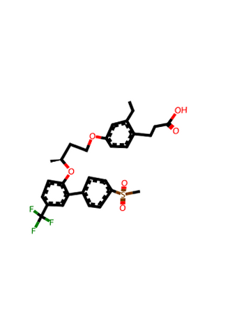 CCc1cc(OCC[C@H](C)Oc2ccc(C(F)(F)F)cc2-c2ccc(S(C)(=O)=O)cc2)ccc1CCC(=O)O